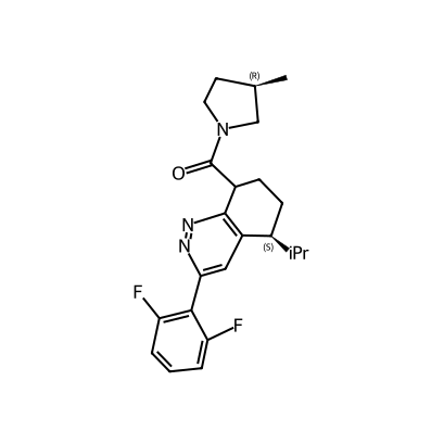 CC(C)[C@@H]1CCC(C(=O)N2CC[C@@H](C)C2)c2nnc(-c3c(F)cccc3F)cc21